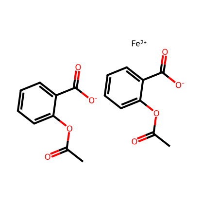 CC(=O)Oc1ccccc1C(=O)[O-].CC(=O)Oc1ccccc1C(=O)[O-].[Fe+2]